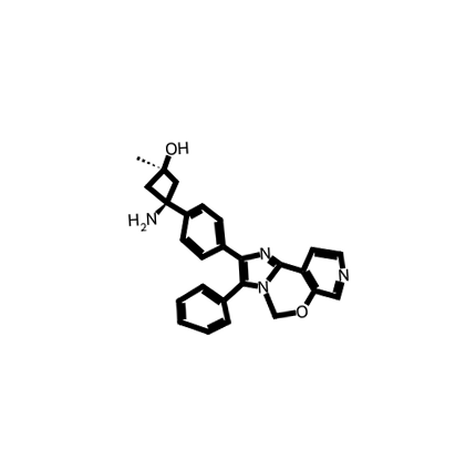 C[C@]1(O)C[C@](N)(c2ccc(-c3nc4n(c3-c3ccccc3)COc3cnccc3-4)cc2)C1